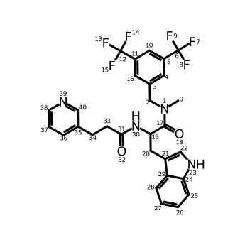 CN(Cc1cc(C(F)(F)F)cc(C(F)(F)F)c1)C(=O)C(Cc1c[nH]c2ccccc12)NC(=O)CCc1cccnc1